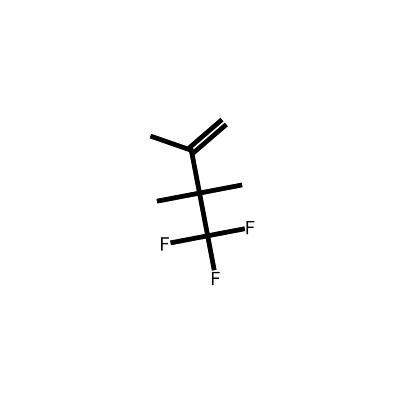 C=C(C)C(C)(C)C(F)(F)F